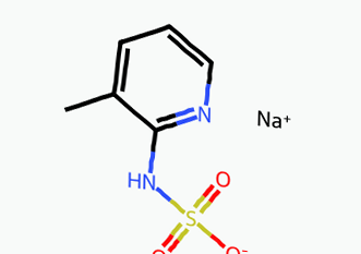 Cc1cccnc1NS(=O)(=O)[O-].[Na+]